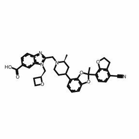 C[C@H]1CC(c2cccc3c2OC(C)(c2ccc(C#N)c4c2OCC4)O3)CCN1Cc1nc2ccc(C(=O)O)cc2n1C[C@@H]1CCO1